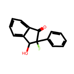 O=C1c2ccccc2C(O)C1(F)c1ccccc1